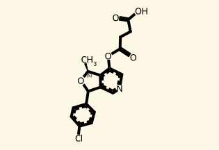 C[C@@H]1OC(c2ccc(Cl)cc2)c2cncc(OC(=O)CCC(=O)O)c21